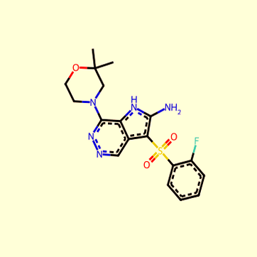 CC1(C)CN(c2nncc3c(S(=O)(=O)c4ccccc4F)c(N)[nH]c23)CCO1